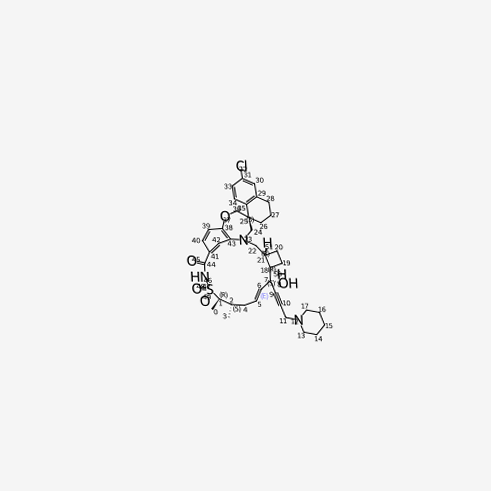 C[C@@H]1[C@@H](C)C/C=C/[C@](O)(C#CCN2CCCCC2)[C@@H]2CC[C@H]2CN2C[C@@]3(CCCc4cc(Cl)ccc43)COc3ccc(cc32)C(=O)NS1(=O)=O